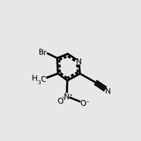 Cc1c(Br)cnc(C#N)c1[N+](=O)[O-]